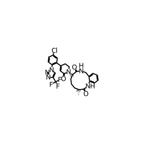 C[C@@H]1CCC[C@H](N2CCC(c3cc(Cl)ccc3-n3cc(C(F)(F)F)nn3)=CC2=O)C(=O)NCc2ccccc2NC1=O